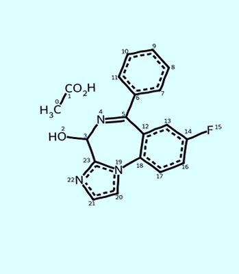 CC(=O)O.OC1N=C(c2ccccc2)c2cc(F)ccc2-n2ccnc21